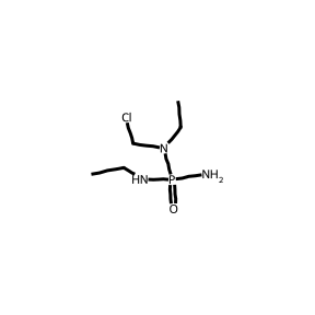 CCNP(N)(=O)N(CC)CCl